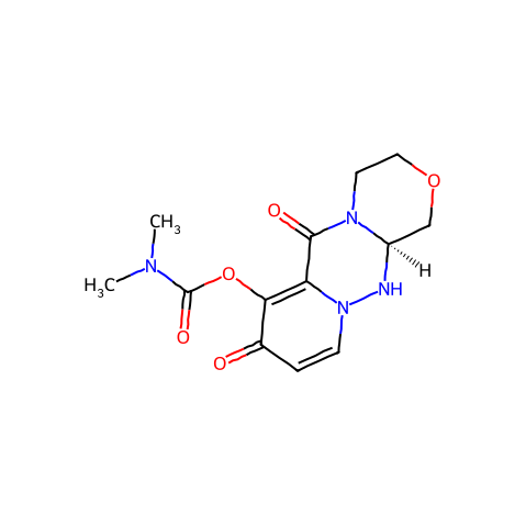 CN(C)C(=O)Oc1c2n(ccc1=O)N[C@@H]1COCCN1C2=O